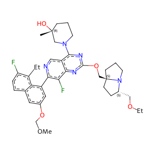 CCOC[C@@H]1CC[C@]2(COc3nc(N4CCC[C@@](C)(O)C4)c4cnc(-c5cc(OCOC)cc6ccc(F)c(CC)c56)c(F)c4n3)CCCN12